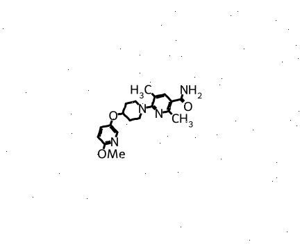 COc1ccc(OC2CCN(c3nc(C)c(C(N)=O)cc3C)CC2)cn1